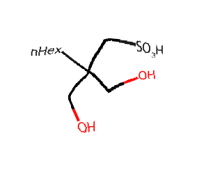 CCCCCCC(CO)(CO)CS(=O)(=O)O